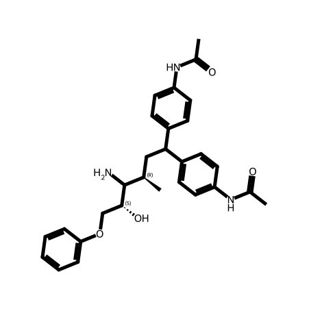 CC(=O)Nc1ccc(C(C[C@@H](C)C(N)[C@H](O)COc2ccccc2)c2ccc(NC(C)=O)cc2)cc1